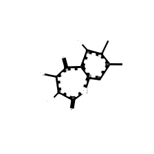 Cc1cc2[nH]c(=O)c(O)c([N+](=O)[O-])c(=O)c2c([N+](=O)[O-])c1C